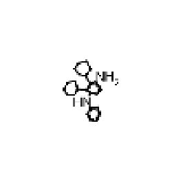 Nc1ccc(Nc2ccccc2)c(C2CCCCC2)c1C1CCCCC1